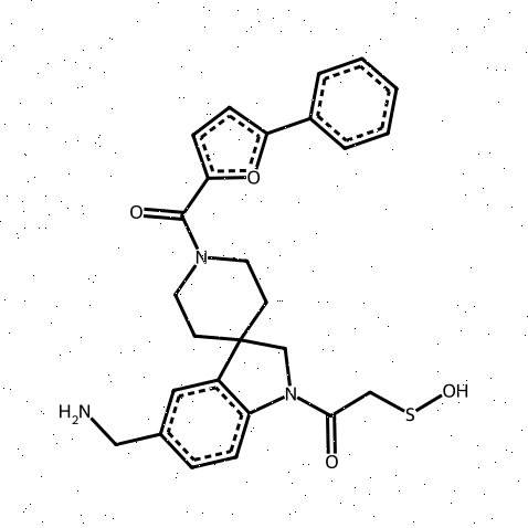 NCc1ccc2c(c1)C1(CCN(C(=O)c3ccc(-c4ccccc4)o3)CC1)CN2C(=O)CSO